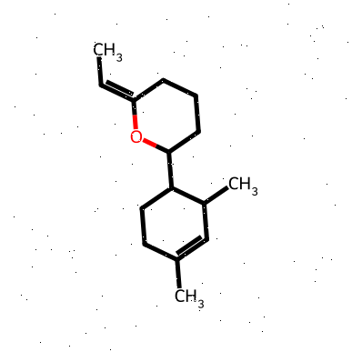 CC=C1CCCC(C2CCC(C)=CC2C)O1